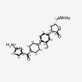 CC(=O)NC[C@H]1CN(c2ccc(N3CCN(C(=O)c4csc(N)n4)CC3)c(F)c2)C(=O)O1